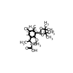 COc1c(C(C)NC(=O)O)cc(Cl)c(C)c1B1OC(C)(C)C(C)(C)O1